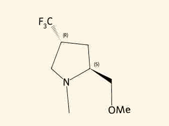 COC[C@@H]1C[C@@H](C(F)(F)F)CN1C